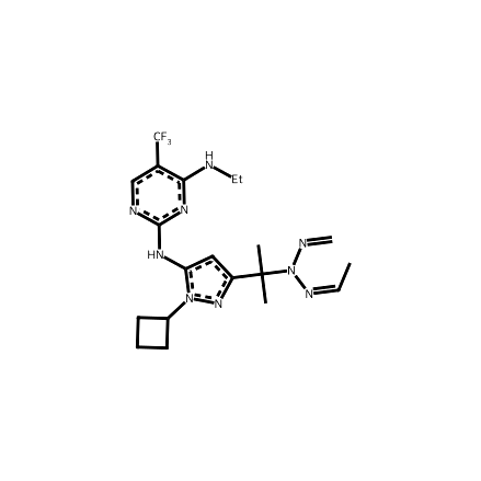 C=NN(/N=C\C)C(C)(C)c1cc(Nc2ncc(C(F)(F)F)c(NCC)n2)n(C2CCC2)n1